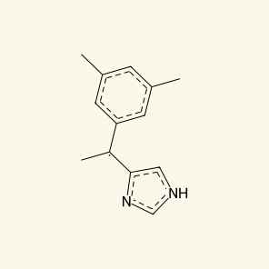 C[C](c1cc(C)cc(C)c1)c1c[nH]cn1